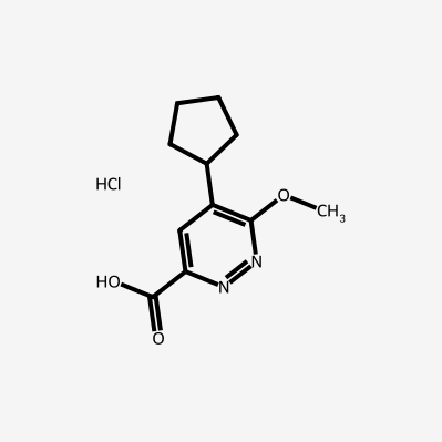 COc1nnc(C(=O)O)cc1C1CCCC1.Cl